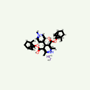 CC1=C(C(=O)OC2CC3CCC2(C)C3(C)C)C(c2cc[n+](C)cc2)C(C(=O)OC2CC3CCC2(C)C3(C)C)=C(C)N1.I.[I-]